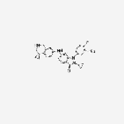 CC(C)(C)c1cc(-n2c3nc(Nc4ccc5c(c4)CNCC54CC4)ncc3c(=O)n2C2CC2)ccc1F